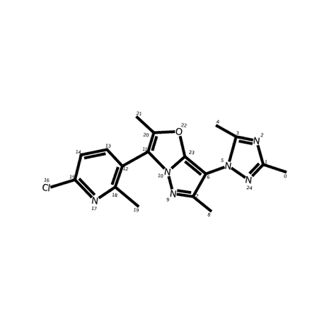 Cc1nc(C)n(-c2c(C)nn3c(-c4ccc(Cl)nc4C)c(C)oc23)n1